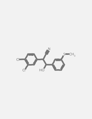 CSc1cccc(C(O)C(C#N)c2ccc(Cl)c(Cl)c2)c1